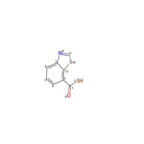 O=C(S)c1cccc2ncsc12